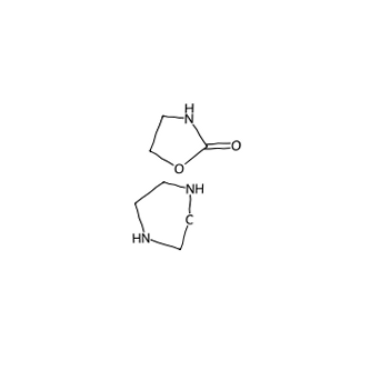 C1CNCCN1.O=C1NCCO1